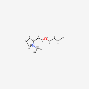 CCCCOCC[C@@H]1CCCN1C(C)C